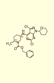 C[C@H]1CC[C@@H](Nc2nc(Cl)nc3c2c(Cl)nn3C2CCCCO2)CN1C(=O)OCc1ccccc1